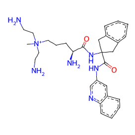 C[N+](CCN)(CCN)CCC[C@H](N)C(=O)NC1(C(=O)Nc2cnc3ccccc3c2)Cc2ccccc2C1